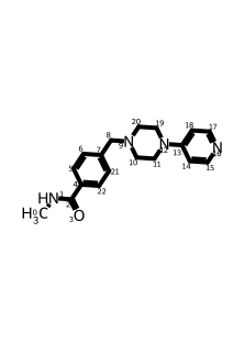 CNC(=O)c1ccc(CN2CCN(c3ccncc3)CC2)cc1